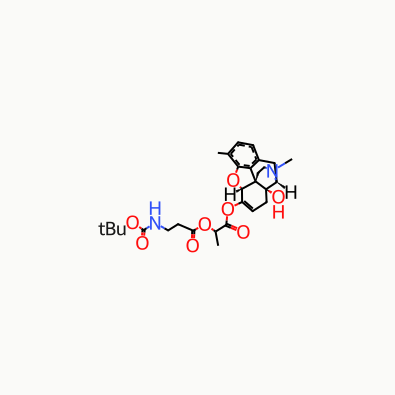 Cc1ccc2c3c1O[C@H]1C(OC(=O)C(C)OC(=O)CCNC(=O)OC(C)(C)C)=CC[C@@]4(O)[C@@H](C2)N(C)CC[C@]314